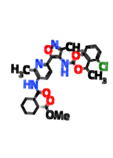 COC(=O)[C@@H]1CCCC[C@H]1C(=O)Nc1ccc(-c2onc(C)c2NC(=O)OC(C)c2ccccc2Cl)nc1C